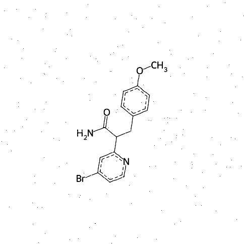 COc1ccc(CC(C(N)=O)c2cc(Br)ccn2)cc1